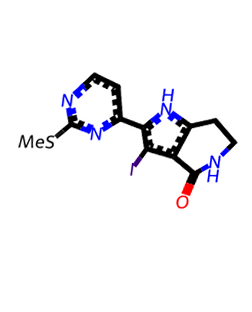 CSc1nccc(-c2[nH]c3c(c2I)C(=O)NCC3)n1